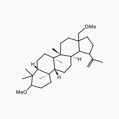 C=C(C)C1CCC2(COC)CC[C@]3(C)[C@H](CC[C@@H]4[C@@]5(C)CCC(OC)C(C)(C)[C@@H]5CC[C@]43C)C12